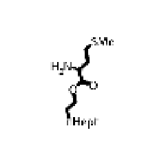 CCCCCCCCCOC(=O)[C@@H](N)CCSC